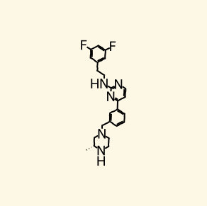 C[C@@H]1CN(Cc2cccc(-c3ccnc(NCCc4cc(F)cc(F)c4)n3)c2)CCN1